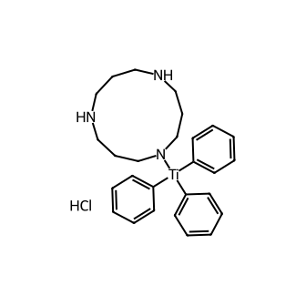 Cl.c1cc[c]([Ti]([c]2ccccc2)([c]2ccccc2)[N]2CCCNCCCNCCC2)cc1